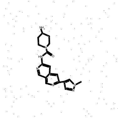 Cn1cc(-c2cc3cc(NC(=O)N4CCC(N)CC4)ncc3cn2)cn1